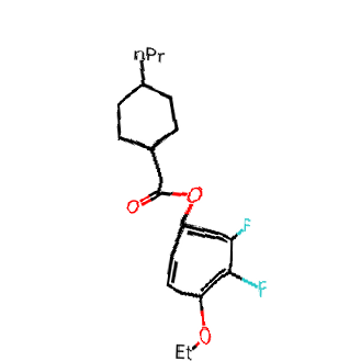 CCCC1CCC(C(=O)Oc2ccc(OCC)c(F)c2F)CC1